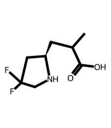 CC(C[C@@H]1CC(F)(F)CN1)C(=O)O